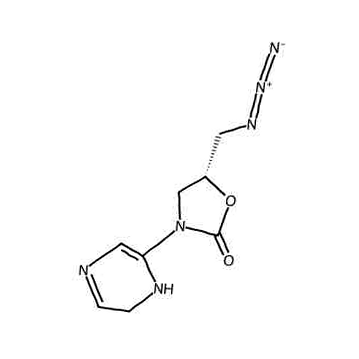 [N-]=[N+]=NC[C@H]1CN(C2=CN=CCN2)C(=O)O1